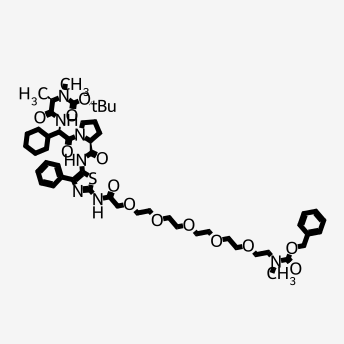 C[C@@H](C(=O)N[C@H](C(=O)N1CCC[C@H]1C(=O)Nc1sc(NC(=O)COCCOCCOCCOCCOCCN(C)C(=O)OCc2ccccc2)nc1-c1ccccc1)C1CCCCC1)N(C)C(=O)OC(C)(C)C